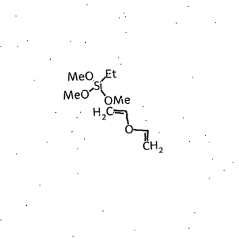 C=COC=C.CC[Si](OC)(OC)OC